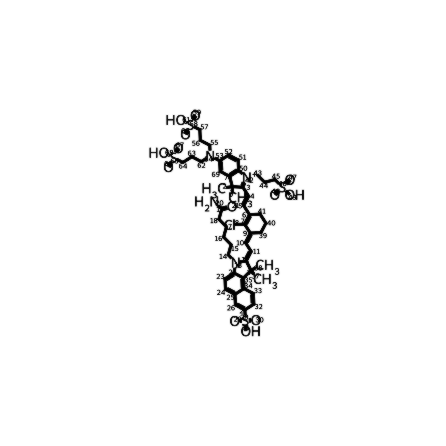 CC1(C)C(/C=C/C2=C(Cl)C(=C/C=C3\N(CCCCCC(N)=O)c4ccc5cc(S(=O)(=O)O)ccc5c4C3(C)C)/CCC2)=[N+](CCCS(=O)(=O)O)c2ccc(N(CCCS(=O)(=O)O)CCCS(=O)(=O)O)cc21